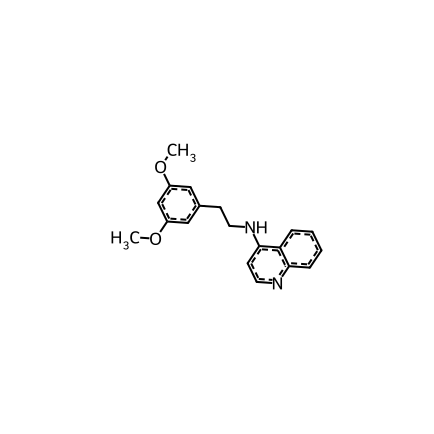 COc1cc(CCNc2ccnc3ccccc23)cc(OC)c1